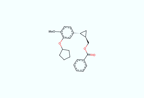 COc1ccc([C@@H]2C[C@H]2COC(=O)c2ccccc2)cc1OC1CCCC1